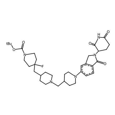 CC(C)(C)OC(=O)N1CCC(F)(CC2CCN(CC3CCN(c4ccc5c(c4)CN(C4CCC(=O)NC4=O)C5=O)CC3)CC2)CC1